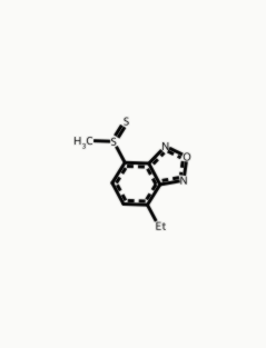 CCc1ccc(S(C)=S)c2nonc12